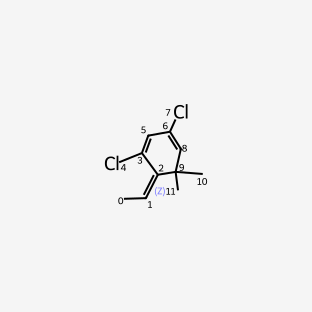 C/C=C1\C(Cl)=CC(Cl)=CC1(C)C